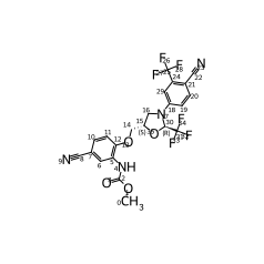 COC(=O)Nc1cc(C#N)ccc1OC[C@@H]1CN(c2ccc(C#N)c(C(F)(F)F)c2)[C@@H](C(F)(F)F)O1